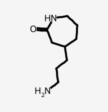 NCCCC1CCCNC(=O)C1